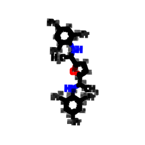 CC(C)c1cc(C(C)C)c(NC(C)c2ccc(C(C)Nc3c(C(C)C)cc(C(C)C)cc3C(C)C)o2)c(C(C)C)c1